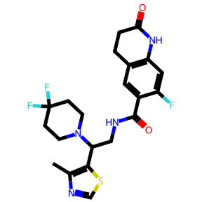 Cc1ncsc1C(CNC(=O)c1cc2c(cc1F)NC(=O)CC2)N1CCC(F)(F)CC1